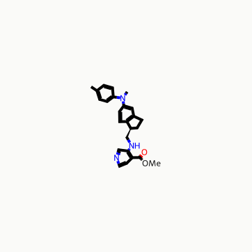 COC(=O)c1ccncc1NC[C@@H]1CCc2cc(N(C)c3ccc(C)cc3)ccc21